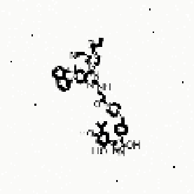 C=CC(=O)N1CCN(c2nc(NCCC(=O)N3CCN(Cc4ccc(-n5c(O)nnc5-c5cc(C(C)C)c(O)cc5O)cc4)CC3)nc3c2CCN(c2cccc4cccc(Cl)c24)C3)C[C@H]1CC#N